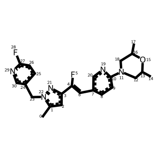 Cc1cc(C(F)=Cc2ccc(N3CC(C)OC(C)C3)nc2)nn1Cc1ccc(F)nc1